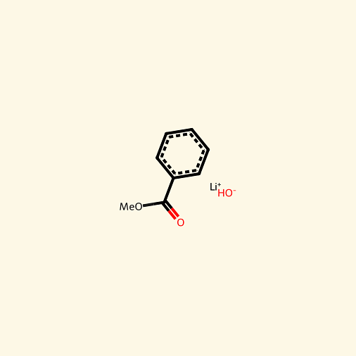 COC(=O)c1ccccc1.[Li+].[OH-]